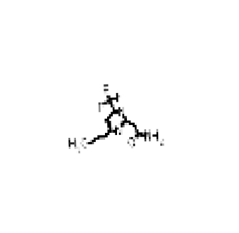 CCCCc1cc(C(F)(F)F)nc(CC(N)=O)n1